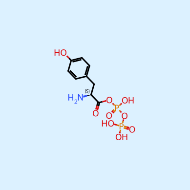 N[C@@H](Cc1ccc(O)cc1)C(=O)OP(=O)(O)OP(=O)(O)O